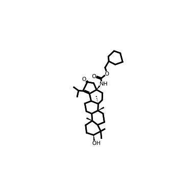 CC(C)C1=C2C3CCC4[C@@]5(C)CC[C@H](O)C(C)(C)C5CC[C@@]4(C)[C@]3(C)CC[C@@]2(NC(=O)OCC2CCCCC2)CC1=O